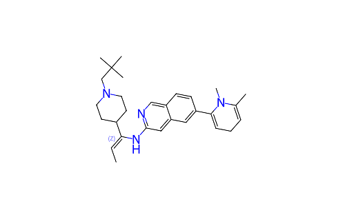 C/C=C(\Nc1cc2cc(C3=CCC=C(C)N3C)ccc2cn1)C1CCN(CC(C)(C)C)CC1